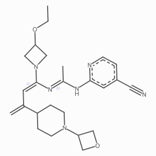 C=C(/C=C(\N=C(/C)Nc1cc(C#N)ccn1)N1CC(OCC)C1)C1CCN(C2COC2)CC1